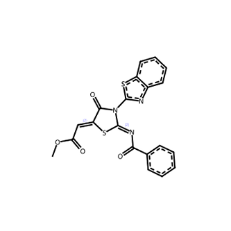 COC(=O)/C=C1\S/C(=N\C(=O)c2ccccc2)N(c2nc3ccccc3s2)C1=O